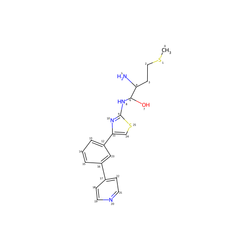 CSCCC(N)C(O)Nc1nc(-c2cccc(-c3ccncc3)c2)cs1